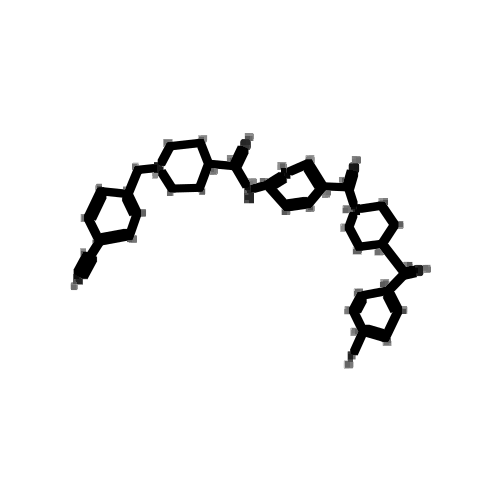 N#Cc1ccc(CN2CCC(C(=O)Nc3ccc(C(=O)N4CCC(C(=O)c5ccc(F)cc5)CC4)cn3)CC2)cc1